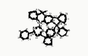 CC1(C)c2ccccc2N(c2nc(-c3ccccc3)cc(-c3ccccc3)n2)c2cc3c(cc21)-c1ccccc1C3(C1=CCCC=C1)c1ccccc1